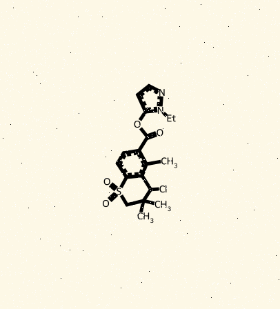 CCn1nccc1OC(=O)c1ccc2c(c1C)C(Cl)C(C)(C)CS2(=O)=O